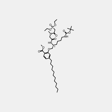 CCCCCCCCCCCCc1ccc(C(=O)OC)c(OC[C@H](CCCCNC(=O)OC(C)(C)C)NC(=O)CN(C)C(=O)CP(=O)(OCC)OCC)c1